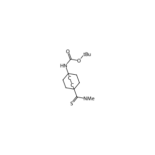 CNC(=S)C12CCC(NC(=O)OC(C)(C)C)(CC1)CC2